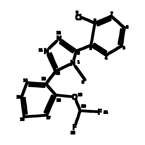 Cn1c(-c2ccccc2Cl)nnc1-c1ccccc1OC(F)F